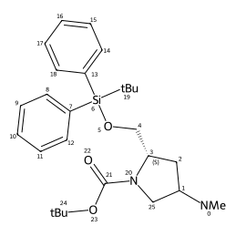 CNC1C[C@@H](CO[Si](c2ccccc2)(c2ccccc2)C(C)(C)C)N(C(=O)OC(C)(C)C)C1